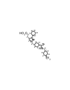 O=C(O)CCc1cn(Cc2ccc(C(=O)NCc3ccc(C(F)(F)F)cc3)cc2)nc1-c1ccccc1